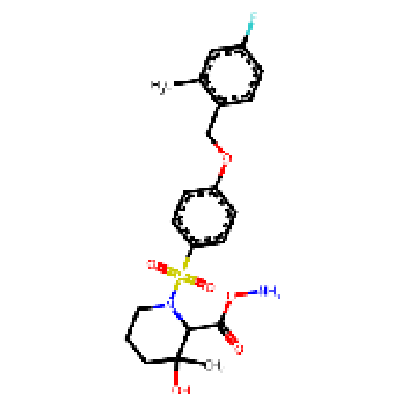 Cc1cc(F)ccc1COc1ccc(S(=O)(=O)N2CCCC(C)(O)C2C(=O)ON)cc1